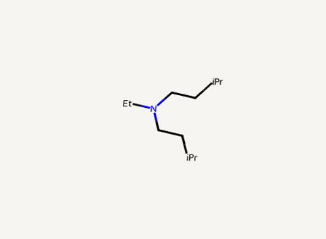 CCN(CCC(C)C)CCC(C)C